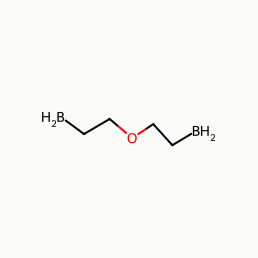 BCCOCCB